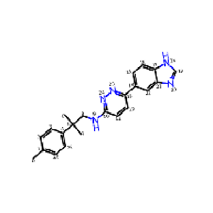 Cc1ccc(C(C)(C)CNc2ccc(-c3ccc4[nH]cnc4c3)nn2)cc1